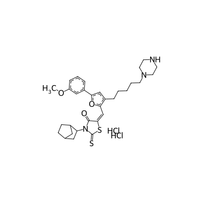 COc1cccc(-c2cc(CCCCCN3CCNCC3)c(/C=C3/SC(=S)N(C4CC5CCC4C5)C3=O)o2)c1.Cl.Cl